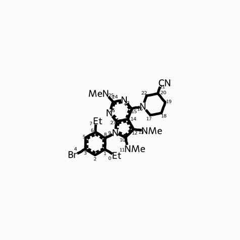 CCc1cc(Br)cc(CC)c1-n1c(NC)c(NC)c2c(N3CCCC(C#N)C3)nc(NC)nc21